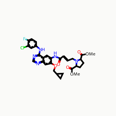 COC(=O)C1CCC(C(=O)OC)N1C/C=C/C(=O)Nc1cc2c(Nc3ccc(F)c(Cl)c3)ncnc2cc1OCC1CC1